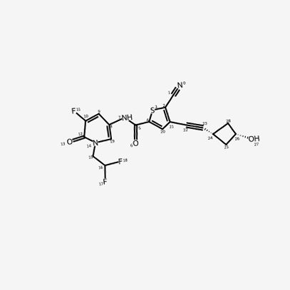 N#Cc1sc(C(=O)Nc2cc(F)c(=O)n(CC(F)F)c2)cc1C#C[C@H]1C[C@@H](O)C1